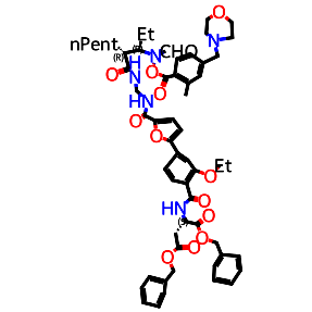 CCCCC[C@@H](C(=O)NCNC(=O)c1ccc(-c2ccc(C(=O)N[C@@H](CC(=O)OCc3ccccc3)C(=O)OCc3ccccc3)c(OCC)c2)o1)[C@@H](CC)N(C=O)OC(=O)c1ccc(CN2CCOCC2)cc1C